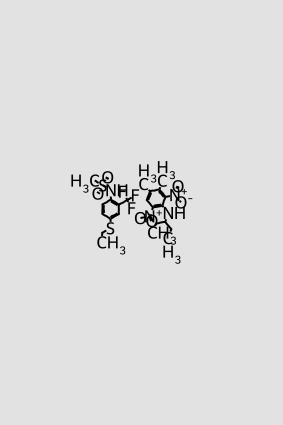 CCC(CC)Nc1c([N+](=O)[O-])cc(C)c(C)c1[N+](=O)[O-].CCSc1ccc(NS(C)(=O)=O)c(C(F)(F)F)c1